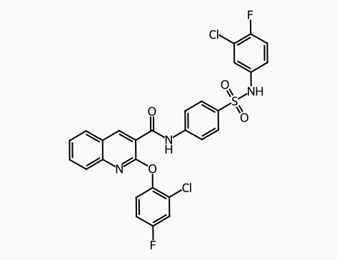 O=C(Nc1ccc(S(=O)(=O)Nc2ccc(F)c(Cl)c2)cc1)c1cc2ccccc2nc1Oc1ccc(F)cc1Cl